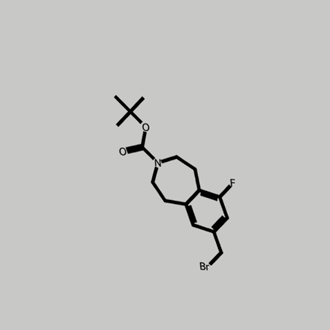 CC(C)(C)OC(=O)N1CCc2cc(CBr)cc(F)c2CC1